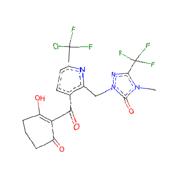 Cn1c(C(F)(F)F)nn(Cc2nc(C(F)(F)Cl)ccc2C(=O)C2=C(O)CCCC2=O)c1=O